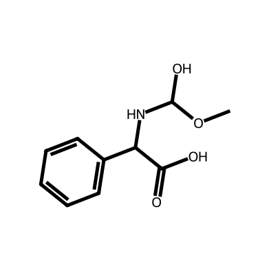 COC(O)NC(C(=O)O)c1ccccc1